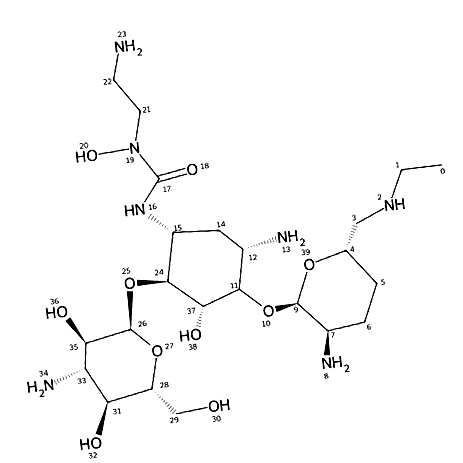 CCNC[C@@H]1CC[C@@H](N)[C@@H](OC2[C@@H](N)C[C@@H](NC(=O)N(O)CCN)[C@H](O[C@H]3O[C@H](CO)[C@@H](O)[C@H](N)[C@H]3O)[C@H]2O)O1